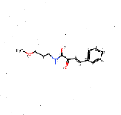 COCCCNC(=O)C(=O)/C=C/c1ccccc1